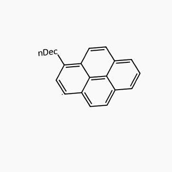 CCCCCCCCCCc1c[c]c2ccc3cccc4ccc1c2c34